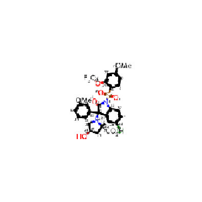 COc1ccc(S(=O)(=O)N2C(=O)C(c3ccccc3OC)(N3C[C@H](O)C[C@@]3(C)C(=O)O)c3cc(Cl)ccc32)c(OC(F)(F)F)c1